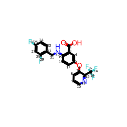 O=C(O)c1cc(Oc2cccnc2C(F)(F)F)ccc1NCc1ccc(F)cc1F